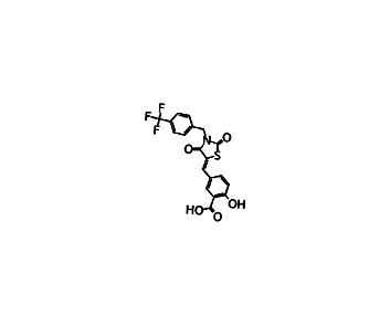 O=C(O)c1cc(/C=C2\SC(=O)N(Cc3ccc(C(F)(F)F)cc3)C2=O)ccc1O